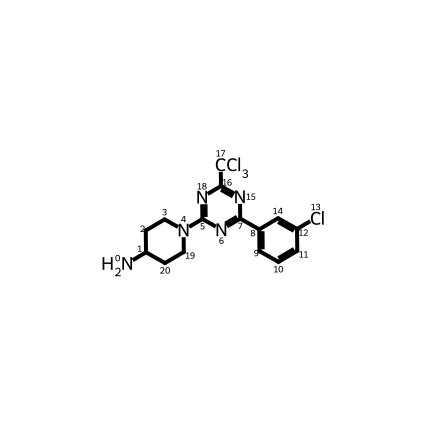 NC1CCN(c2nc(-c3cccc(Cl)c3)nc(C(Cl)(Cl)Cl)n2)CC1